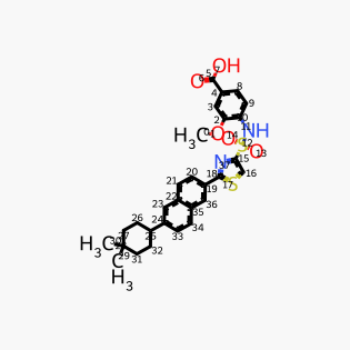 COc1cc(C(=O)O)ccc1NS(=O)(=O)c1csc(-c2ccc3cc(C4CCC(C)(C)CC4)ccc3c2)n1